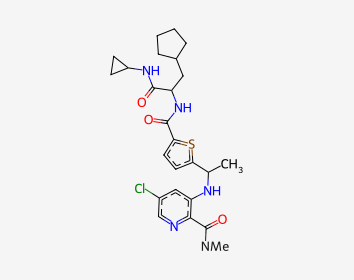 CNC(=O)c1ncc(Cl)cc1NC(C)c1ccc(C(=O)NC(CC2CCCC2)C(=O)NC2CC2)s1